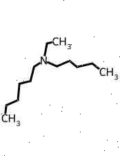 CCCCCCN(CC)CCCCC